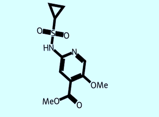 COC(=O)c1cc(NS(=O)(=O)C2CC2)ncc1OC